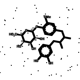 COc1cc(CC(C)C(C)Cc2ccc(O)c(O)c2)ccc1O[C@@H]1O[C@H](C(=O)O)[C@@H](O)[C@H](O)[C@H]1O